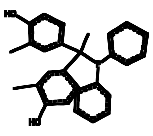 Cc1cc(C(C)(c2ccc(O)c(C)c2)P(c2ccccc2)c2ccccc2)ccc1O